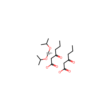 CC(C)[O][Sn+2][O]C(C)C.CCCC(=O)CC(=O)[O-].CCCC(=O)CC(=O)[O-]